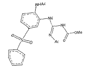 COC(=O)NC(=NC(C)=O)Nc1cc(S(=O)(=O)c2ccccc2)ccc1NC(C)=O